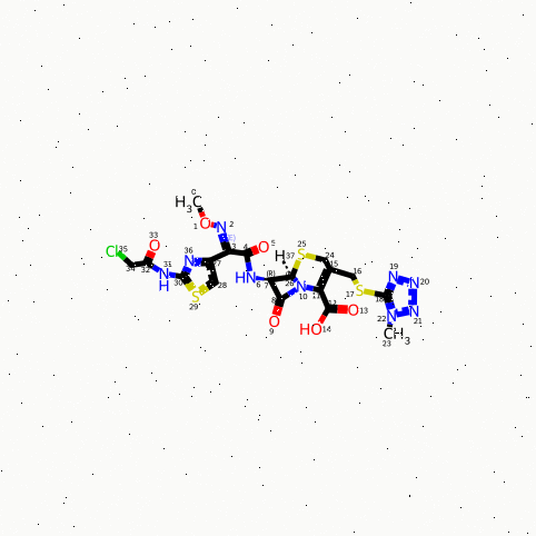 CO/N=C(/C(=O)N[C@@H]1C(=O)N2C(C(=O)O)=C(CSc3nnnn3C)CS[C@H]12)c1csc(NC(=O)CCl)n1